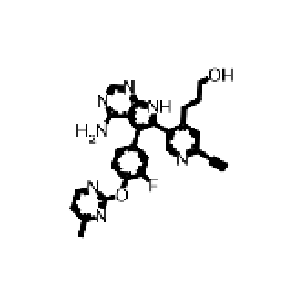 C#Cc1cc(CCCO)c(-c2[nH]c3ncnc(N)c3c2-c2ccc(Oc3nccc(C)n3)c(F)c2)cn1